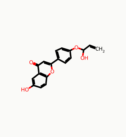 C=CC(O)Oc1ccc(-c2cc(=O)c3cc(O)ccc3o2)cc1